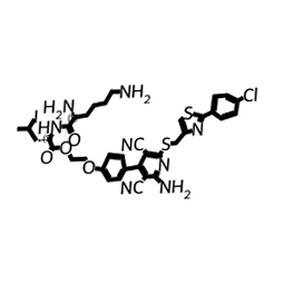 CC(I)C[C@H](NC(=O)[C@@H](N)CCCCN)C(=O)OCCOc1ccc(-c2c(C#N)c(N)nc(SCc3csc(-c4ccc(Cl)cc4)n3)c2C#N)cc1